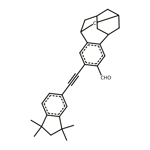 CC1(C)CC(C)(C)c2cc(C#Cc3cc4c(cc3C=O)C3CC5CC(CC4C5)C3)ccc21